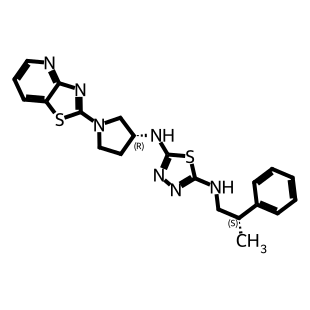 C[C@H](CNc1nnc(N[C@@H]2CCN(c3nc4ncccc4s3)C2)s1)c1ccccc1